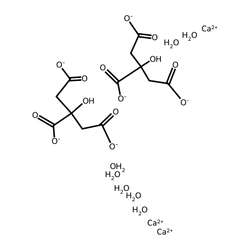 O.O.O.O.O.O.O.O=C([O-])CC(O)(CC(=O)[O-])C(=O)[O-].O=C([O-])CC(O)(CC(=O)[O-])C(=O)[O-].[Ca+2].[Ca+2].[Ca+2]